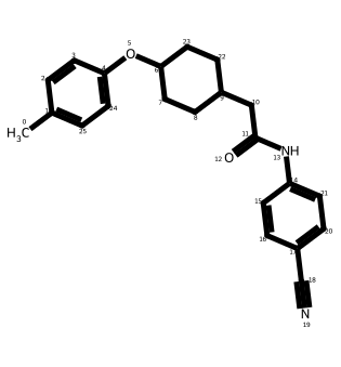 Cc1ccc(OC2CCC(CC(=O)Nc3ccc(C#N)cc3)CC2)cc1